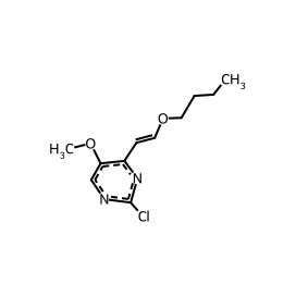 CCCCO/C=C/c1nc(Cl)ncc1OC